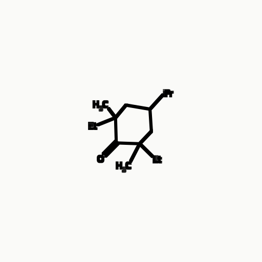 CCC1(C)CC(C(C)C)CC(C)(CC)C1=O